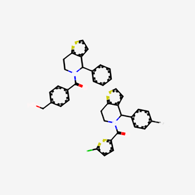 O=C(c1ccc(CO)cc1)N1CCc2sccc2C1c1ccccc1.O=C(c1ccc(Cl)s1)N1CCc2sccc2C1c1ccc([N+](=O)[O-])cc1